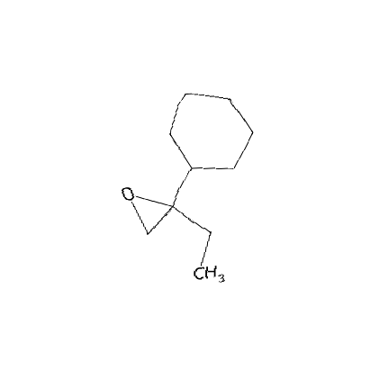 CCC1(C2CCCCC2)CO1